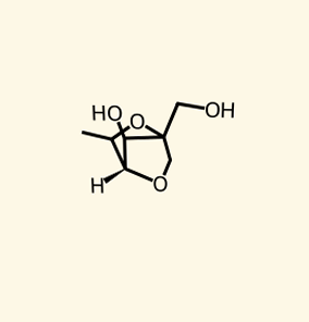 CC1OC2(CO)CO[C@H]1C2O